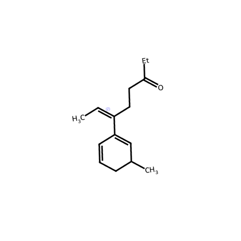 C/C=C(/CCC(=O)CC)C1=CC(C)CC=C1